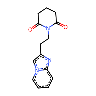 O=C1CCCC(=O)N1CCc1cn2ccccc2n1